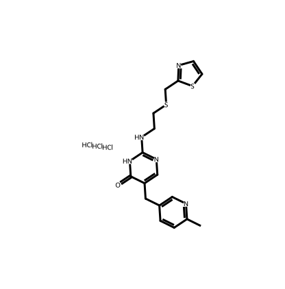 Cc1ccc(Cc2cnc(NCCSCc3nccs3)[nH]c2=O)cn1.Cl.Cl.Cl